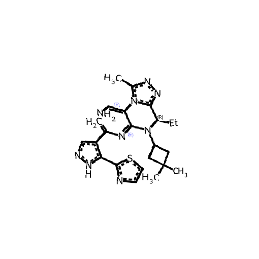 C=C(/N=C1\C(=C/N)n2c(C)nnc2[C@@H](CC)N1C1CC(C)(C)C1)c1cn[nH]c1-c1nccs1